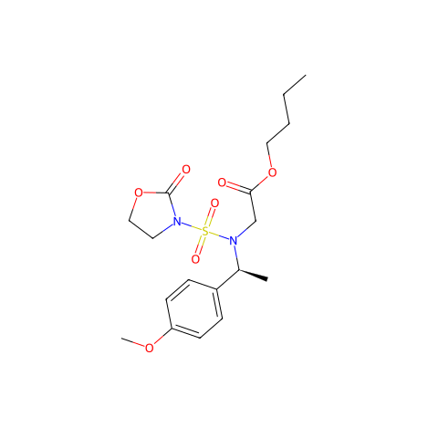 CCCCOC(=O)CN([C@@H](C)c1ccc(OC)cc1)S(=O)(=O)N1CCOC1=O